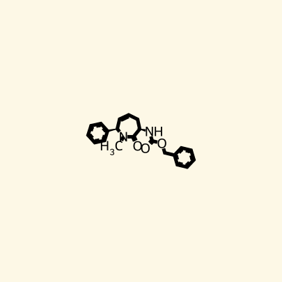 CN1C(=O)[C@H](NC(=O)OCc2ccccc2)CC=C[C@@H]1c1ccccc1